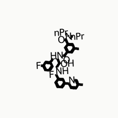 CCCN(CCC)C(=O)c1cc(C)cc(C(=O)N[C@@H](Cc2cc(F)cc(F)c2)[C@H](O)CNCc2cccc(-c3ccc(C)cn3)c2)c1